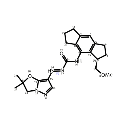 COC[C@@H]1CCc2cc3c(c(NC(=O)/N=[SH]/c4cnn5c4OC(C)(C)C5)c21)CCC3